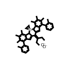 CCCCC1=Cc2c(-c3ccccc3C)c(C)c(C)c(C)c2[CH]1[Zr+2]1([CH]2C(CCCC)=Cc3c(-c4ccccc4C)c(C)c(C)c(C)c32)[CH2][CH2]1.[Cl-].[Cl-]